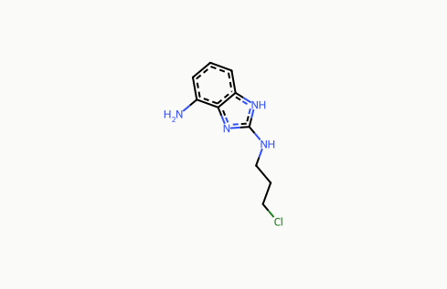 Nc1cccc2[nH]c(NCCCCl)nc12